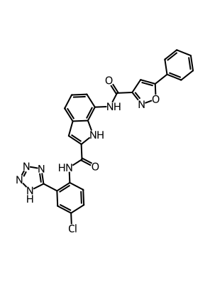 O=C(Nc1cccc2cc(C(=O)Nc3ccc(Cl)cc3-c3nnn[nH]3)[nH]c12)c1cc(-c2ccccc2)on1